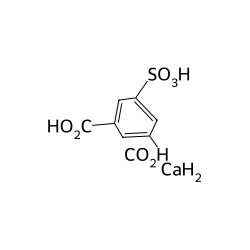 O=C(O)c1cc(C(=O)O)cc(S(=O)(=O)O)c1.[CaH2]